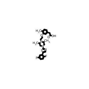 Cc1ccc(CC(=O)O)cc1OCCN1C(C)CN(c2ncc(-c3cc(F)ccc3F)s2)CC1C